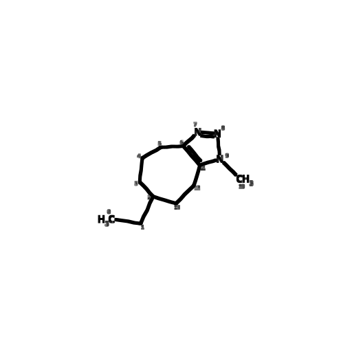 CCC1CCCc2nnn(C)c2CC1